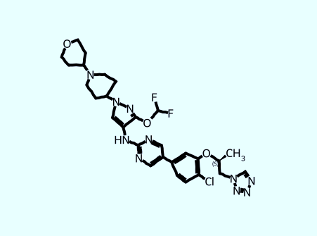 C[C@@H](Cn1cnnn1)Oc1cc(-c2cnc(Nc3cn(C4CCN(C5CCOCC5)CC4)nc3OC(F)F)nc2)ccc1Cl